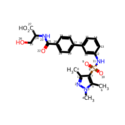 Cc1nn(C)c(C)c1S(=O)(=O)Nc1cccc(-c2ccc(C(=O)NC(CO)C(=O)O)cc2)c1